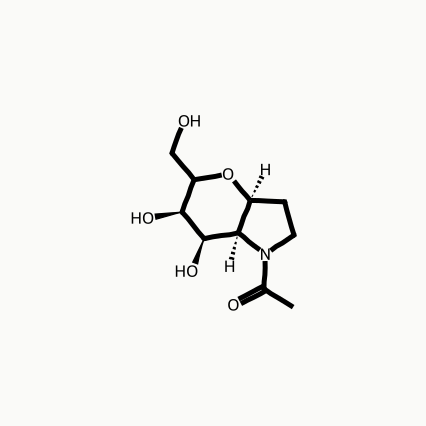 CC(=O)N1CC[C@@H]2OC(CO)[C@H](O)[C@H](O)[C@@H]21